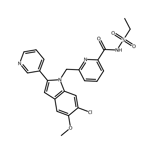 CCS(=O)(=O)NC(=O)c1cccc(Cn2c(-c3cccnc3)cc3cc(OC)c(Cl)cc32)n1